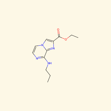 CCCNc1nccn2cc(C(=O)OCC)nc12